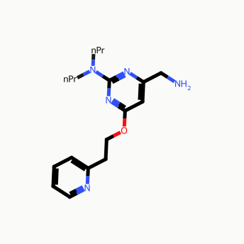 CCCN(CCC)c1nc(CN)cc(OCCc2ccccn2)n1